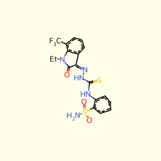 CCN1C(=O)C(=NNC(=S)Nc2ccccc2S(N)(=O)=O)c2cccc(C(F)(F)F)c21